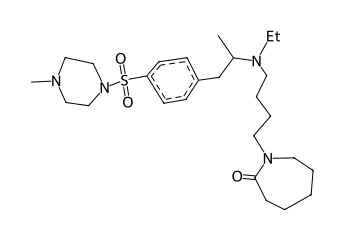 CCN(CCCCN1CCCCCC1=O)C(C)Cc1ccc(S(=O)(=O)N2CCN(C)CC2)cc1